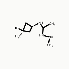 CNNC(C)N[C@H]1C[C@@](C)(O)C1